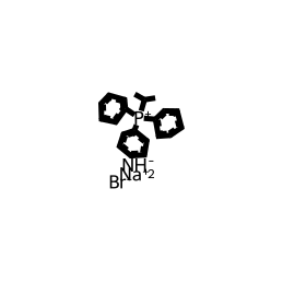 CC(C)[P+](c1ccccc1)(c1ccccc1)c1ccccc1.[Br-].[NH2-].[Na+]